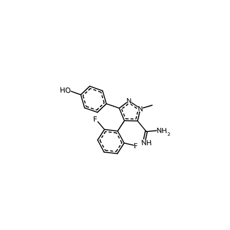 Cn1nc(-c2ccc(O)cc2)c(-c2c(F)cccc2F)c1C(=N)N